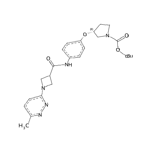 Cc1ccc(N2CC(C(=O)Nc3ccc(O[C@@H]4CCN(C(=O)OC(C)(C)C)C4)cc3)C2)nn1